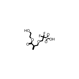 C=C(COCC(F)(F)S(=O)(=O)O)C(=O)OCCO